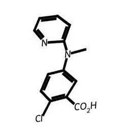 CN(c1ccc(Cl)c(C(=O)O)c1)c1ccccn1